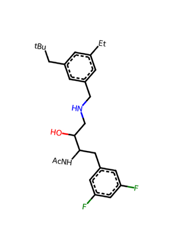 CCc1cc(CNCC(O)C(Cc2cc(F)cc(F)c2)NC(C)=O)cc(CC(C)(C)C)c1